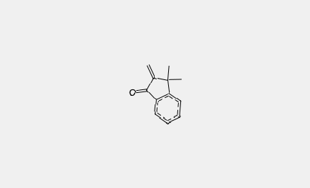 C=C1C(=O)c2ccccc2C1(C)C